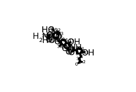 CC(C)=CCc1cc(C(=O)Nc2c(O)c3ccc(O[C@@H]4OC(C)(C)[C@H](CO)[C@@H](OC(N)=O)[C@H]4O)c(C)c3oc2=O)ccc1O